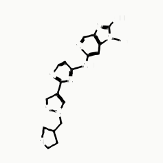 Cc1nc2cnc(Nc3ccnc(C4=CN(CC5CCNC5)NC4)n3)cc2n1C(C)C